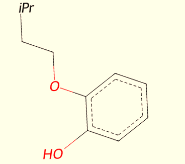 CC(C)CCOc1ccccc1O